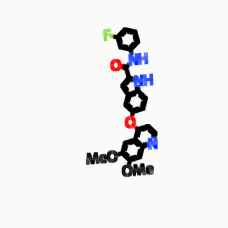 COc1cc2nccc(Oc3ccc4[nH]c(C(=O)Nc5cccc(F)c5)cc4c3)c2cc1OC